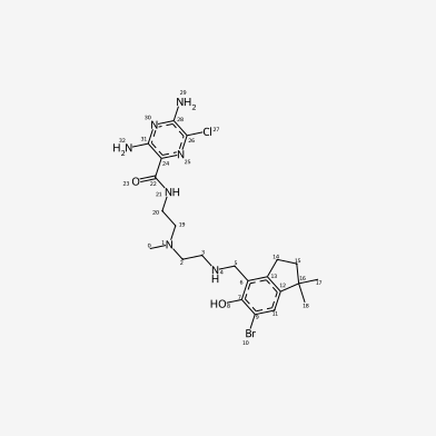 CN(CCNCc1c(O)c(Br)cc2c1CCC2(C)C)CCNC(=O)c1nc(Cl)c(N)nc1N